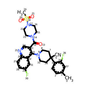 Cc1ccc(C2(C#N)CCN(c3c(C(=O)N4CCN(S(C)(=O)=O)CC4)cnc4ccc(F)cc34)CC2)c(F)c1